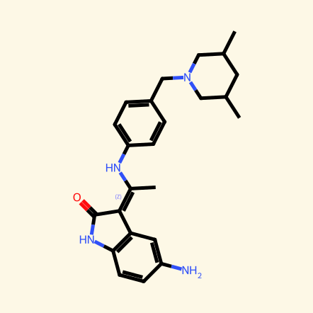 C/C(Nc1ccc(CN2CC(C)CC(C)C2)cc1)=C1/C(=O)Nc2ccc(N)cc21